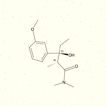 CC[C@@](O)(c1cccc(OC)c1)[C@@H](C)C(=O)N(C)C